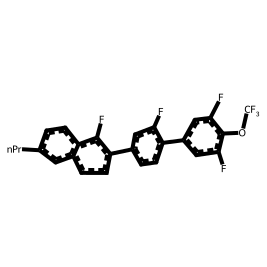 CCCc1ccc2c(F)c(-c3ccc(-c4cc(F)c(OC(F)(F)F)c(F)c4)c(F)c3)ccc2c1